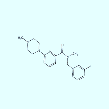 CN1CCN(c2cccc(C(=O)N(C)Cc3cccc(F)c3)n2)CC1